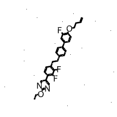 C=CCCOc1ccc(-c2ccc(CCc3ccc(-c4cnc(OCC)nc4)c(F)c3F)cc2)cc1F